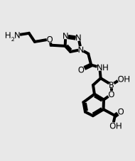 NCCOCc1cn(CC(=O)NC2Cc3cccc(C(=O)O)c3OB2O)nn1